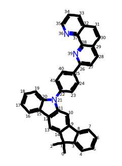 CC1(C)c2ccccc2-c2cc3c(cc21)c1ccccc1n3-c1ccc(-c2ccc3ccc4cccnc4c3n2)cc1